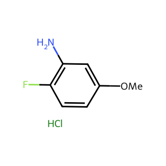 COc1ccc(F)c(N)c1.Cl